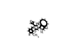 Cc1cc(CN2C(=O)CN(C3NCC(Cl)C4(CCCCCCCCC4)C3F)C(=O)C2C2COC2)ccc1F